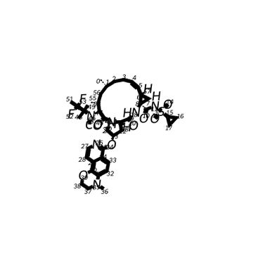 C[C@@H]1CCC=C[C@@H]2C[C@@]2(C(=O)NS(=O)(=O)C2CC2)NC(=O)[C@@H]2C[C@@H](Oc3nccc4c5c(ccc34)N(C)CCO5)CN2C(=O)[C@@H](N(C(=O)O)C(C)(C)C(C)(F)F)[C@H](C)C1